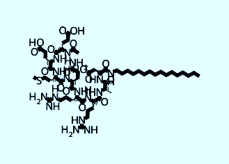 CCCCCCCCCCCCCCCCNC(=O)[C@H](CC(=O)O)NC(=O)[C@H](C)NC(=O)[C@H](CCCNC(=N)N)NC(=O)[C@H](CCCNC(=N)N)NC(=O)[C@H](CCC(N)=O)NC(=O)[C@H](CCSC)NC(=O)[C@H](CCC(=O)O)NC(=O)[C@H](CCC(=O)O)NC(C)=O